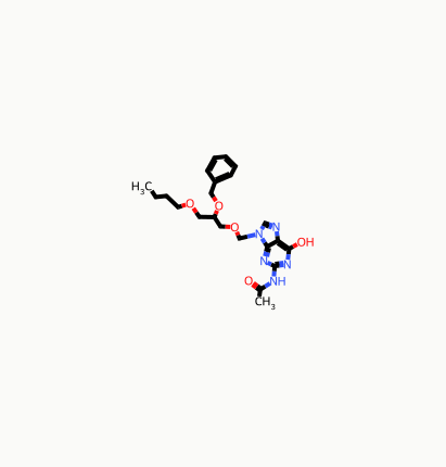 CCCCOCC(COCn1cnc2c(O)nc(NC(C)=O)nc21)OCc1ccccc1